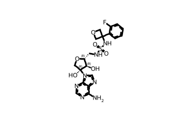 Nc1ncnc2c1ncn2[C@@]1(O)CO[C@H](CNS(=O)(=O)NC2(c3ccccc3F)COC2)[C@H]1O